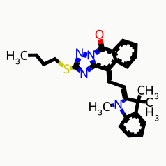 CCCCSc1nc2/c(=C/C=C3\N(C)c4ccccc4C3(C)C)c3ccccc3c(=O)n2n1